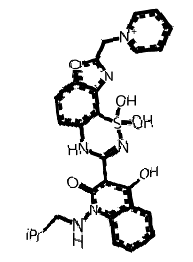 CC(C)CNn1c(=O)c(C2=NS(O)(O)c3c(ccc4oc(C[n+]5ccccc5)nc34)N2)c(O)c2ccccc21